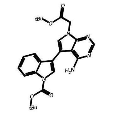 CC(C)(C)OC(=O)Cn1cc(-c2cn(C(=O)OC(C)(C)C)c3ccccc23)c2c(N)ncnc21